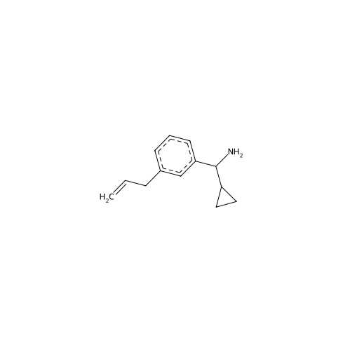 C=CCc1cccc(C(N)C2CC2)c1